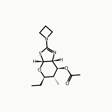 CC[C@H]1O[C@@H]2SC(N3CCC3)=N[C@@H]2[C@@H](OC(C)=O)[C@@H]1C